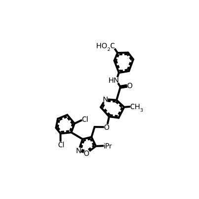 Cc1cc(OCc2c(-c3c(Cl)cccc3Cl)noc2C(C)C)cnc1C(=O)Nc1cccc(C(=O)O)c1